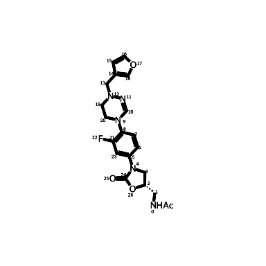 CC(=O)NC[C@H]1CN(c2ccc(N3C=NN(Cc4ccoc4)CC3)c(F)c2)C(=O)O1